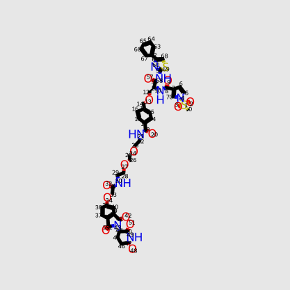 CS(=O)(=O)n1ccc(C(=O)N[C@@H](COCc2ccc(C(=O)NCCOCCOCCNC(=O)COc3ccc4c(c3)C(=O)N(C3CCC(=O)NC3=O)C4=O)cc2)C(=O)Nc2nc(-c3ccccc3)cs2)c1